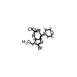 CCn1c(Br)nc2c(N3CCOCC3)nc(Cl)nc21